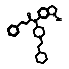 CC(=O)N1CCc2ccc(N(C(=O)C=Cc3ccccc3)C3CCN(CCC4CCCCC4)CC3)cc21